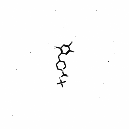 CC(C)(C)OC(=O)N1CCC(Cc2cc(F)c(F)cc2Cl)CC1